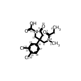 CCC(=O)N(C)CC(CC=O)(CNC(=O)O)c1ccc(Cl)c(Cl)c1